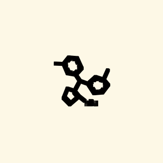 CCCCC1=C(C(c2cccc(C)c2)c2cccc(C)c2)CC=C1